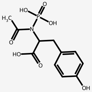 CC(=O)N(C(Cc1ccc(O)cc1)C(=O)O)P(=O)(O)O